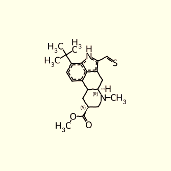 COC(=O)[C@H]1CC2c3ccc(C(C)(C)C)c4[nH]c(C=S)c(c34)C[C@H]2N(C)C1